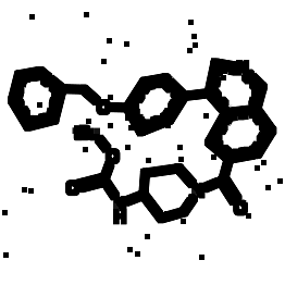 CC(C)(C)OC(=O)NC1CCN(C(=O)c2ccc3cncc(-c4ccc(OCc5ccccc5)cc4)c3c2)CC1